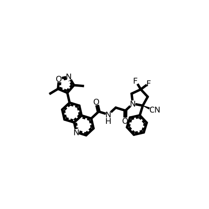 Cc1noc(C)c1-c1ccc2nccc(C(=O)NCC(=O)N3CC(F)(F)C[C@]3(C#N)c3ccccc3)c2c1